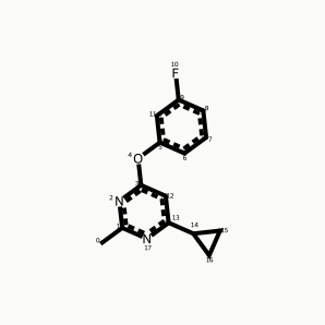 Cc1nc(Oc2cccc(F)c2)cc(C2CC2)n1